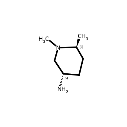 C[C@H]1CC[C@H](N)CN1C